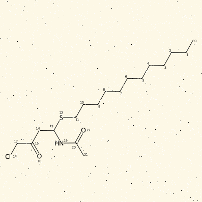 CCCCCCCCCCCCSC(CC(=O)CCl)NC(C)=O